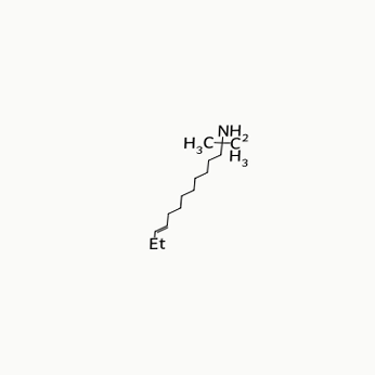 CCC=CCCCCCCCCC(C)(C)N